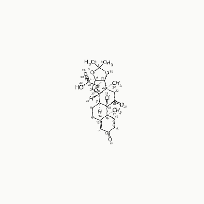 CC1(C)O[C@@H]2C[C@H]3[C@@H]4CCC5=CC(=O)C=C[C@]5(C)[C@@]4(Cl)C(=O)C[C@]3(C)[C@]2(C(=O)C(=O)O)O1